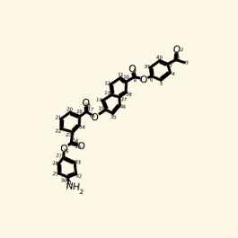 CC(=O)c1ccc(OC(=O)c2ccc3cc(OC(=O)c4cccc(C(=O)Oc5ccc(N)cc5)c4)ccc3c2)cc1